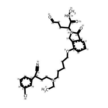 CCN(CCCCCOc1cccc2c1CN(C(CCC=O)C(=O)NC)C2=O)CCC(C#N)c1cccc(Cl)c1